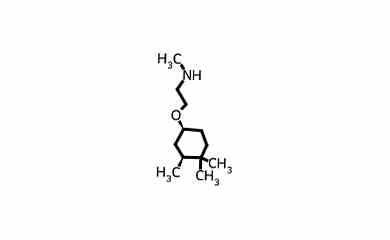 CNCCO[C@H]1CCC(C)(C)[C@@H](C)C1